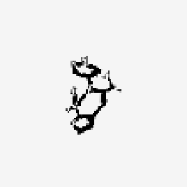 C[C@H](N)C1=Cc2ccoc2S(=O)(=O)N1c1cn[nH]c1